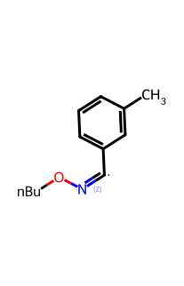 CCCCO/N=[C]\c1cccc(C)c1